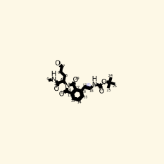 CNC(=O)C(CCC=O)N1C(=O)c2cccc(/C=C/NC(=O)OC(C)(C)C)c2C1=O